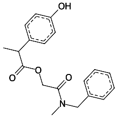 CC(C(=O)OCC(=O)N(C)Cc1ccccc1)c1ccc(O)cc1